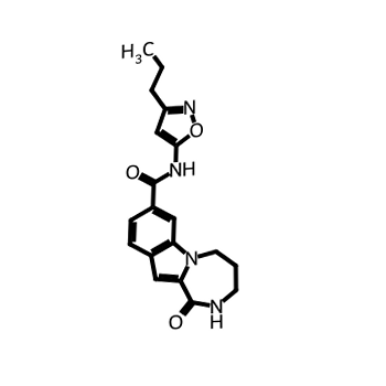 CCCc1cc(NC(=O)c2ccc3cc4n(c3c2)CCCNC4=O)on1